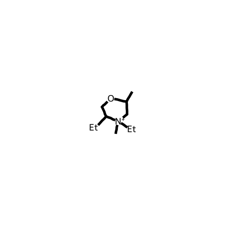 CCC1COC(C)C[N+]1(C)CC